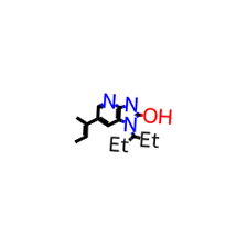 CC=C(C)c1cnc2nc(O)n(C(CC)CC)c2c1